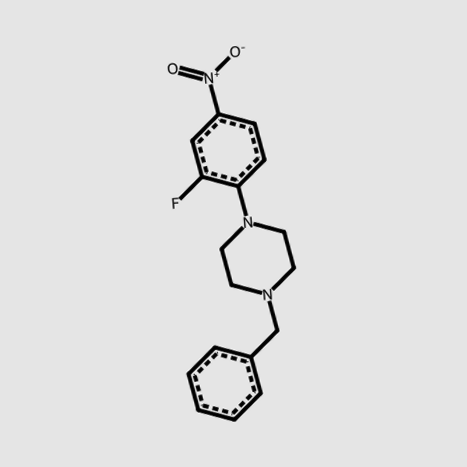 O=[N+]([O-])c1ccc(N2CCN(Cc3ccccc3)CC2)c(F)c1